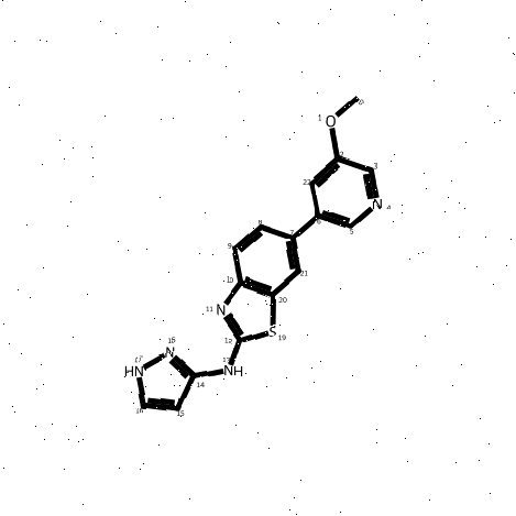 COc1cncc(-c2ccc3nc(Nc4cc[nH]n4)sc3c2)c1